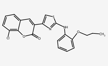 CCCOc1ccccc1Nc1nc(-c2cc3cccc(Cl)c3oc2=O)cs1